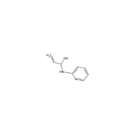 C=CC(O)Nc1ccccn1